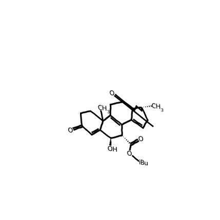 CCC(C)OC(=O)[C@H]1C2=C(CCC34C(=O)CC[C@]3(C)CC=C24)C2(C)CCC(=O)C=C2[C@@H]1O